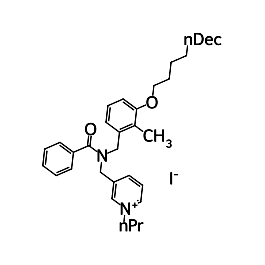 CCCCCCCCCCCCCCOc1cccc(CN(Cc2ccc[n+](CCC)c2)C(=O)c2ccccc2)c1C.[I-]